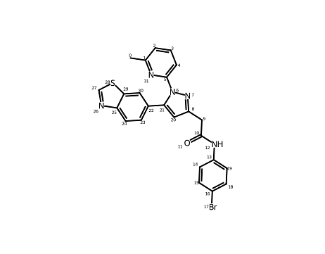 Cc1cccc(-n2nc(CC(=O)Nc3ccc(Br)cc3)cc2-c2ccc3ncsc3c2)n1